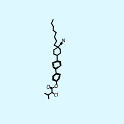 CCCCCCCCC1(C#N)CCC(c2ccc(-c3ccc(OC(=O)C(Cl)C(C)C)cc3)cc2)CC1